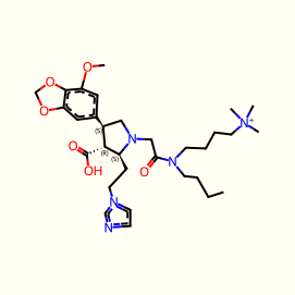 CCCCN(CCCC[N+](C)(C)C)C(=O)CN1C[C@H](c2cc(OC)c3c(c2)OCO3)[C@@H](C(=O)O)[C@@H]1CCn1ccnc1